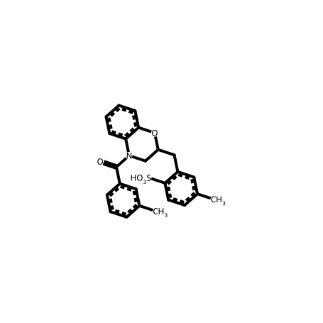 Cc1cccc(C(=O)N2CC(Cc3cc(C)ccc3S(=O)(=O)O)Oc3ccccc32)c1